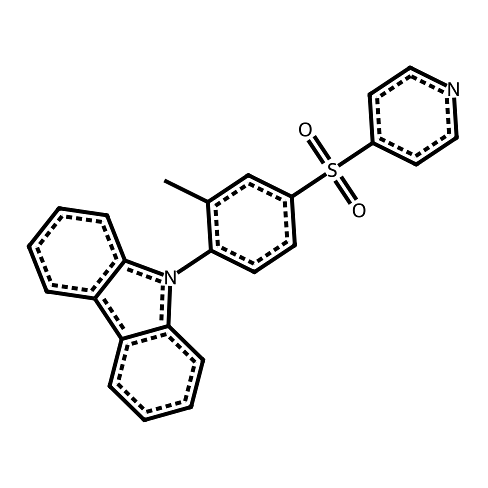 Cc1cc(S(=O)(=O)c2ccncc2)ccc1-n1c2ccccc2c2ccccc21